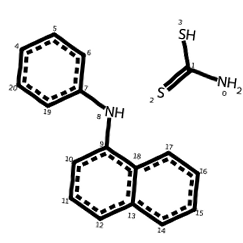 NC(=S)S.c1ccc(Nc2cccc3ccccc23)cc1